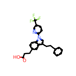 O=C(O)CCc1ccc2c(c1)c(CCc1ccccc1)cn2-c1ccc(C(F)(F)F)cn1